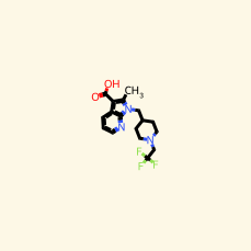 Cc1c(C(=O)O)c2cccnc2n1CC1CCN(CC(F)(F)F)CC1